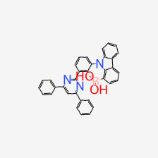 OB(O)c1cccc2c3ccccc3n(-c3cccc(-c4nc(-c5ccccc5)cc(-c5ccccc5)n4)c3)c12